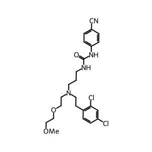 COCCOCCN(CCCNC(=O)Nc1ccc(C#N)cc1)CCc1ccc(Cl)cc1Cl